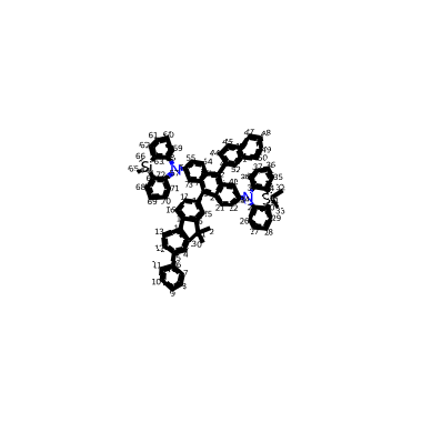 CC1(C)c2cc(-c3ccccc3)ccc2-c2ccc(-c3c4ccc(N5c6ccccc6[Si](C)(C)c6ccccc65)cc4c(-c4ccc5ccccc5c4)c4ccc(N5c6ccccc6[Si](C)(C)c6ccccc65)cc34)cc21